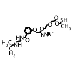 CC(C)NCCNC(=O)c1cccc(OCC(N=[N+]=[N-])OCCOCC(=O)OC(C)S)c1